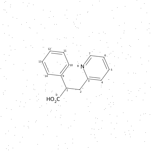 O=C(O)C(Cc1ccccn1)c1ccccc1